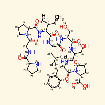 CC[C@H](C)[C@H](NC(=O)[C@@H]1CCCN1C(=O)CNC(=O)[C@@H]1CCCN1)C(=O)N[C@@H](CC(C)C)C(=O)N[C@@H](CO)C(=O)N[C@@H](CO)C(=O)N[C@@H](Cc1ccccc1)C(=O)N1CCC[C@H]1C(=O)O